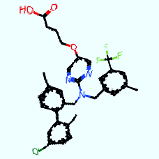 Cc1cc(CN(Cc2cc(C)ccc2-c2cc(Cl)ccc2C)c2ncc(OCCCC(=O)O)cn2)cc(C(F)(F)F)c1